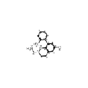 Cc1ccccc1-c1cc(Cl)cc2c1O[C@@H](CN)CC2